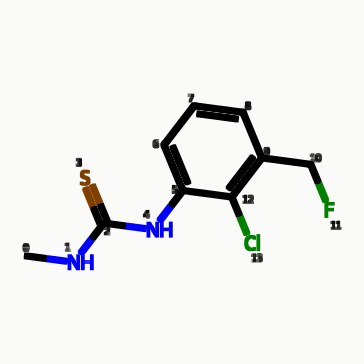 CNC(=S)Nc1cccc(CF)c1Cl